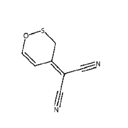 N#CC(C#N)=C1C=COSC1